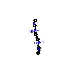 CC(C)(c1ccc(C(=N)NCCC2CCN(Cc3ccccc3)CC2)cc1)c1ccc(C(=N)NCCC2CCN(Cc3ccccc3)CC2)cc1